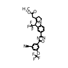 COC(=O)CC1=C2C(C(F)(F)F)c3cc(-c4noc(-c5cc(C#N)cc(OC(F)(F)F)c5)n4)ccc3N2CC1